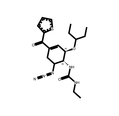 CCNC(=O)N[C@@H]1C(N=[N+]=[N-])CC(C(=O)c2cccs2)=C[C@H]1OC(CC)CC